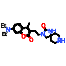 CCN(CC)c1ccc2c(C)c(CCN3CC4(CCNCC4)NC3=O)c(=O)oc2c1